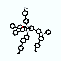 C=Cc1ccc(C2=Cc3ccc(OCC(CC)CCCCC4(c5ccccc5)C5=CC(N(c6ccc(C7=CC8C9CC(C%10=CCC(C=C)C=C%10)CC=C9N(c9ccccc9)C8CC7)cc6)c6ccc(C7=CCC(C(C)(C)C)CC7)cc6)CC=C5c5ccccc54)cc3CC2)cc1